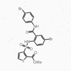 COC(=O)c1sccc1S(=O)(=O)Nc1ccc(Br)cc1C(=O)Nc1ccc(Br)cc1